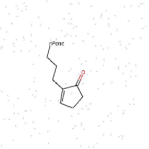 CCCCCCCCC1=CCCC1=O